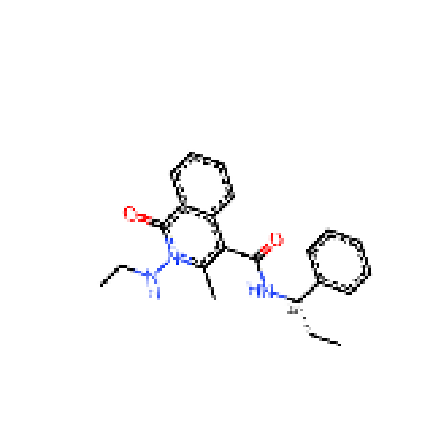 CCNn1c(C)c(C(=O)N[C@@H](CC)c2ccccc2)c2ccccc2c1=O